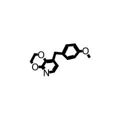 COc1ccc(Cc2ccnc3c2OCCO3)cc1